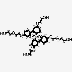 O=S(=O)(c1ccc(OCCO)cc1-c1ccc(OCCOCCO)cc1)c1ccc(OCCO)cc1-c1ccc(OCCOCCO)cc1